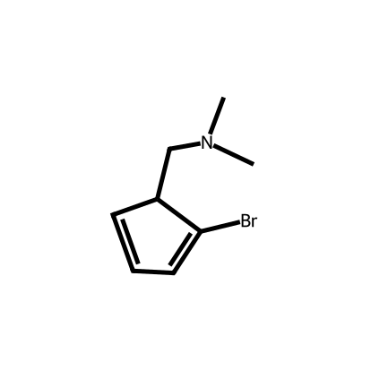 CN(C)CC1C=CC=C1Br